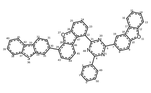 c1ccc(-c2nc(-c3ccc4oc5ccccc5c4c3)nc(-c3cccc4oc5c(-c6ccc7c(c6)sc6ccccc67)cccc5c34)n2)cc1